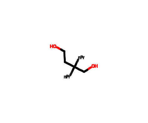 CCCC(CO)(CCC)CCO